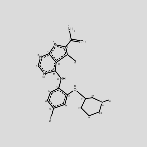 Cc1c(C(N)=O)sc2ncnc(Nc3ccc(F)cc3OC3CCCN(C)C3)c12